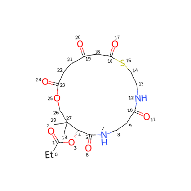 CCC(=O)O[C@H]1C(=O)NCCC(=O)NCCSC(=O)CC(=O)CCC(=O)OCC1(C)C